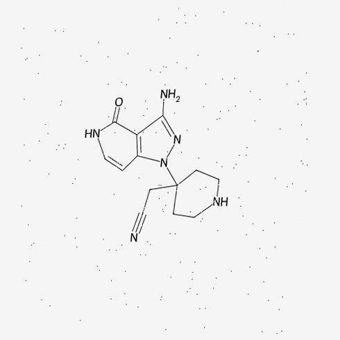 N#CCC1(n2nc(N)c3c(=O)[nH]ccc32)CCNCC1